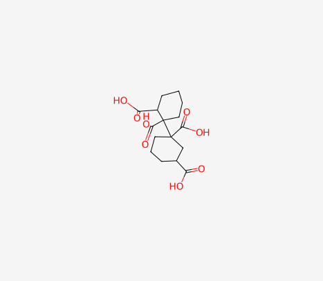 O=C(O)C1CCCC(C(=O)O)(C2(C(=O)O)CCCCC2C(=O)O)C1